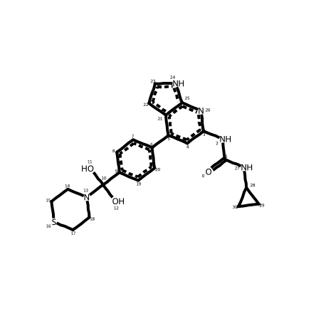 O=C(Nc1cc(-c2ccc(C(O)(O)N3CCSCC3)cc2)c2cc[nH]c2n1)NC1CC1